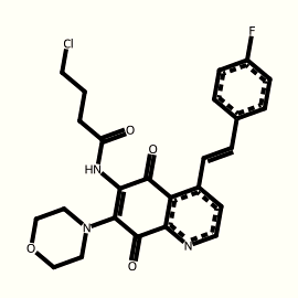 O=C(CCCCl)NC1=C(N2CCOCC2)C(=O)c2nccc(/C=C/c3ccc(F)cc3)c2C1=O